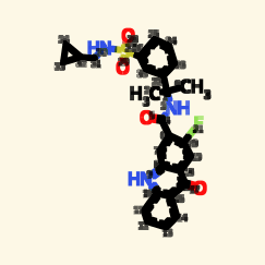 CC(C)(NC(=O)c1cc2[nH]c3ccccc3c(=O)c2cc1F)c1cccc(S(=O)(=O)NCC2CC2)c1